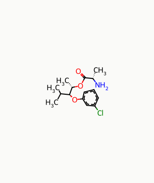 CC(C)[C@H](Oc1cccc(Cl)c1)[C@H](C)OC(=O)[C@H](C)N